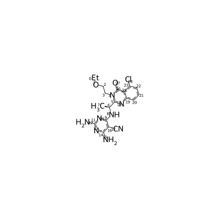 CCOCCn1c([C@H](C)Nc2nc(N)nc(N)c2C#N)nc2cccc(Cl)c2c1=O